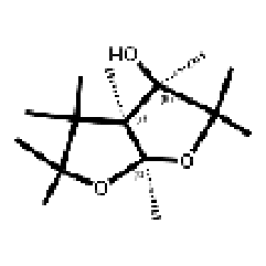 CC1(C)O[C@]2(C)OC(C)(C)[C@](C)(O)[C@]2(C)C1(C)C